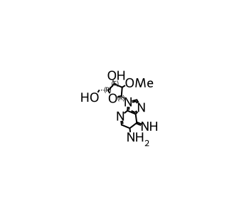 COC1[C@@H](O)[C@@H](CO)O[C@H]1n1cnc2c1N=CC(N)C2=N